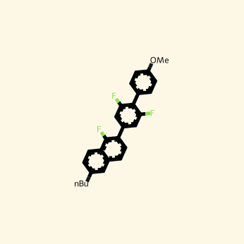 CCCCc1ccc2c(F)c(-c3cc(F)c(-c4ccc(OC)cc4)c(F)c3)ccc2c1